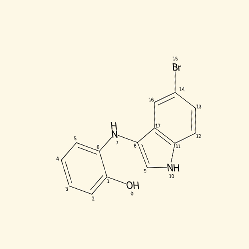 Oc1ccccc1Nc1c[nH]c2ccc(Br)cc12